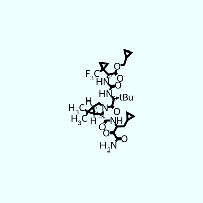 CC(C)(C)[C@H](NC(=O)N[C@H](C(=O)OCC1CC1)C1(C(F)(F)F)CC1)C(=O)N1C[C@H]2[C@@H]([C@H]1C(=O)NC(CC1CC1)C(=O)C(N)=O)C2(C)C